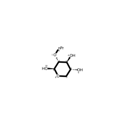 CCCO[C@@H]1[C@@H](O)[C@H](O)CO[C@H]1O